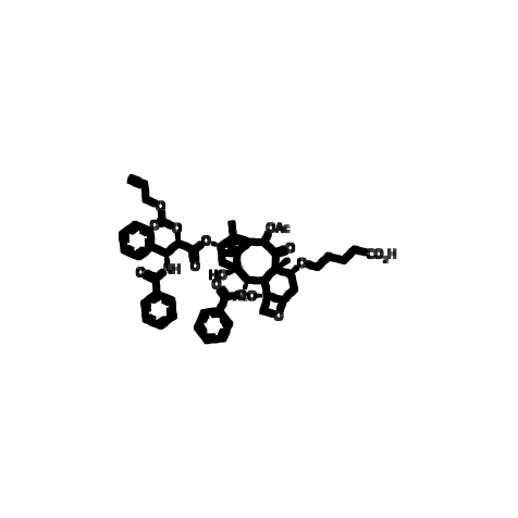 C=CCOC(=O)O[C@@H](C(=O)O[C@H]1C[C@@]2(O)[C@@H](OC(=O)c3ccccc3)C3[C@]4(OC(C)=O)COC4C[C@H](OCCCCC(=O)O)[C@@]3(C)C(=O)C(OC(C)=O)C(=C1C)C2(C)C)[C@@H](NC(=O)c1ccccc1)c1ccccc1